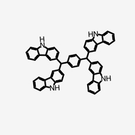 c1ccc2c(c1)[nH]c1ccc(C(c3ccc(C(c4ccc5[nH]c6ccccc6c5c4)c4ccc5[nH]c6ccccc6c5c4)cc3)c3ccc4[nH]c5ccccc5c4c3)cc12